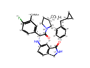 COc1cc([C@@H](Nc2ccc3c(c2)C(=O)NC3)C(=O)N2CC[C@H](C(=O)O)[C@@H]2c2ccccc2CC2CC2)ccc1F